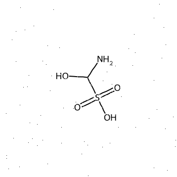 NC(O)S(=O)(=O)O